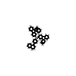 c1ccc2c(c1)-c1ccc(N(c3ccc(-c4cccc5ccccc45)cc3)c3ccc4c(c3)C3(c5ccccc5-4)C4CCC5CC(C4)CC3C5)cc1C21CC2CCC1C2